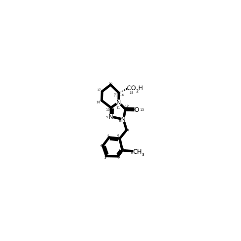 Cc1ccccc1Cn1nc2n(c1=O)[C@@H](C(=O)O)CCC2